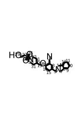 N#Cc1cc(CN2Cc3ccccc3C2)ccc1OCC1CCN(S(=O)(=O)CCO)CC1